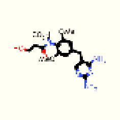 COc1cc(Cc2cnc(N)nc2N)cc(OC)c1N(C(=O)O)C(=O)CCO